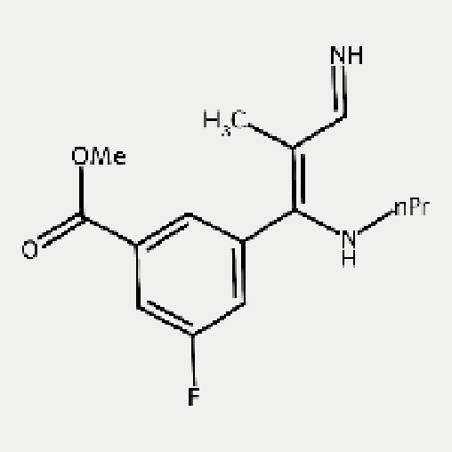 CCCN/C(=C(/C)C=N)c1cc(F)cc(C(=O)OC)c1